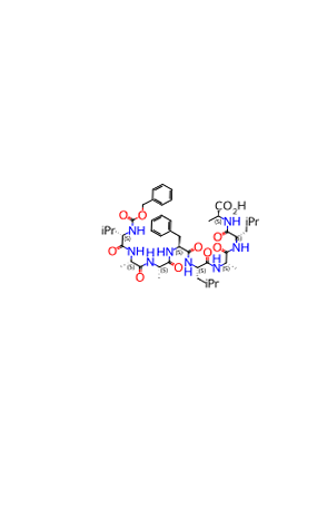 CC(C)C[C@H](NC(=O)[C@H](C)NC(=O)[C@H](CC(C)C)NC(=O)[C@H](Cc1ccccc1)NC(=O)[C@H](C)NC(=O)[C@H](C)NC(=O)[C@@H](NC(=O)OCc1ccccc1)C(C)C)C(=O)N[C@@H](C)C(=O)O